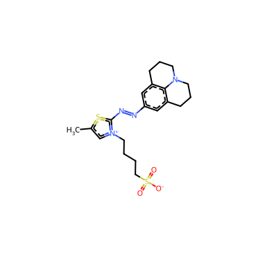 Cc1c[n+](CCCCS(=O)(=O)[O-])c(/N=N/c2cc3c4c(c2)CCCN4CCC3)s1